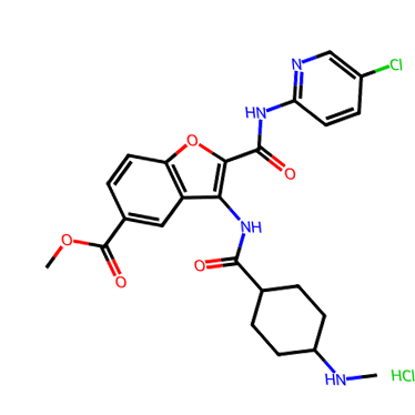 CNC1CCC(C(=O)Nc2c(C(=O)Nc3ccc(Cl)cn3)oc3ccc(C(=O)OC)cc23)CC1.Cl